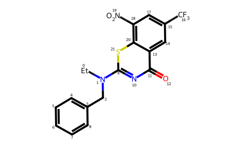 CCN(Cc1ccccc1)c1nc(=O)c2cc(C(F)(F)F)cc([N+](=O)[O-])c2s1